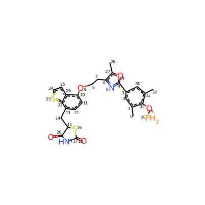 Cc1cc(-c2nc(CCOc3ccc(CC4SC(=O)NC4=O)c4sccc34)c(C)o2)cc(C)c1OP